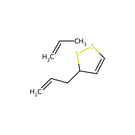 C=CC.C=CCC1C=CSS1